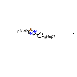 CCCCCCCCCc1cn2cc(-c3ccc(CCCCCCC)cc3)nc2s1